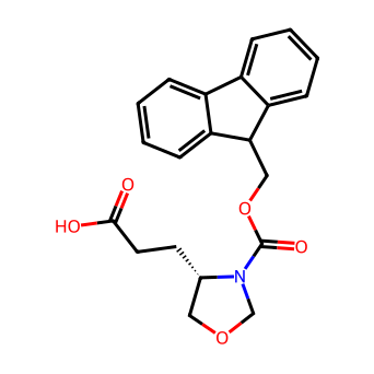 O=C(O)CC[C@H]1COCN1C(=O)OCC1c2ccccc2-c2ccccc21